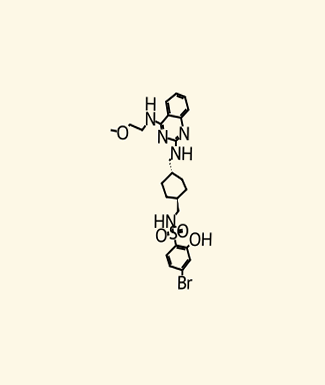 COCCNc1nc(NC[C@H]2CC[C@H](CNS(=O)(=O)c3ccc(Br)cc3O)CC2)nc2ccccc12